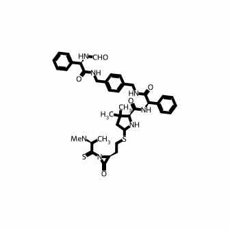 CN[C@@H](C)C(=S)N1C(=O)[C@@H]1CCSC1CC(C)(C)[C@@H](C(=O)N[C@@H](C(=O)NCc2ccc(CNC(=O)[C@@H](NC=O)c3ccccc3)cc2)c2ccccc2)N1